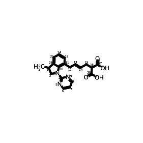 CC1CN(c2ncccn2)c2c(CC=CCC(C(=O)O)C(=O)O)cccc21